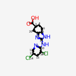 O=C(O)c1ccc2[nH]c(Nc3ncc(Cl)cc3Cl)nc2c1